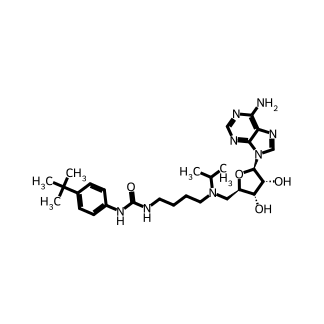 CC(C)N(CCCCNC(=O)Nc1ccc(C(C)(C)C)cc1)C[C@H]1O[C@@H](n2cnc3c(N)ncnc32)[C@H](O)[C@@H]1O